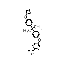 CC(C)(c1ccc(Oc2cnc(C(F)(F)F)nc2)cc1)c1ccc(OC2CCC2)cc1